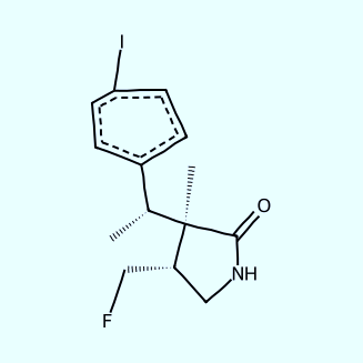 C[C@H](c1ccc(I)cc1)[C@@]1(C)C(=O)NC[C@@H]1CF